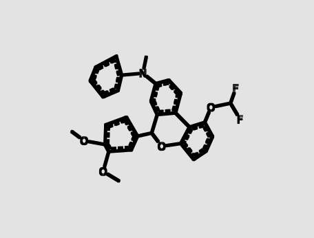 COc1ccc(C2Oc3cccc(OC(F)F)c3-c3ccc(N(C)c4ccccc4)cc32)cc1OC